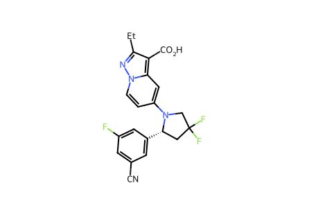 CCc1nn2ccc(N3CC(F)(F)C[C@@H]3c3cc(F)cc(C#N)c3)cc2c1C(=O)O